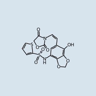 O=C1COC(=O)N1/C=C\c1cc(NS(=O)(=O)c2cccs2)c2c(c1O)OCO2